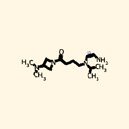 CC(C)N(/C=C\N)CCCC(=O)N1CC(N(C)C)C1